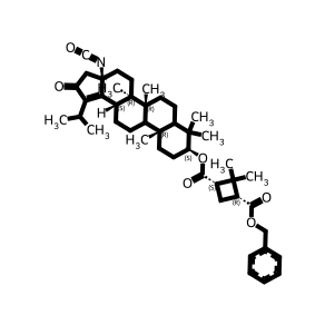 CC(C)C1=C2[C@H]3CCC4[C@@]5(C)CC[C@H](OC(=O)[C@H]6C[C@@H](C(=O)OCc7ccccc7)C6(C)C)C(C)(C)C5CC[C@@]4(C)[C@]3(C)CC[C@@]2(N=C=O)CC1=O